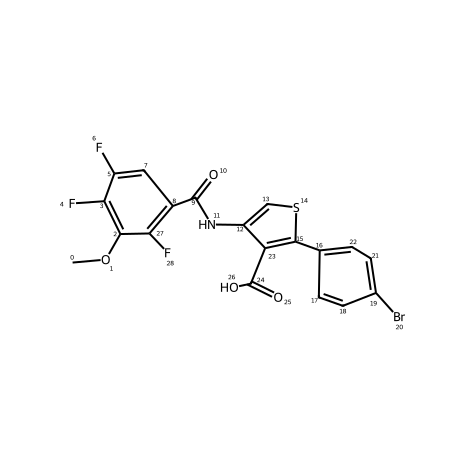 COc1c(F)c(F)cc(C(=O)Nc2csc(-c3ccc(Br)cc3)c2C(=O)O)c1F